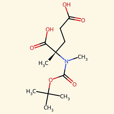 CN(C(=O)OC(C)(C)C)[C@@](C)(CCC(=O)O)C(=O)O